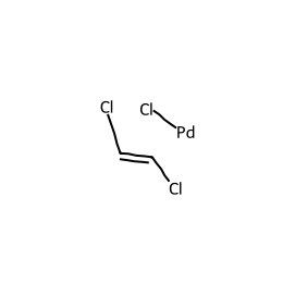 ClC=CCl.[Cl][Pd]